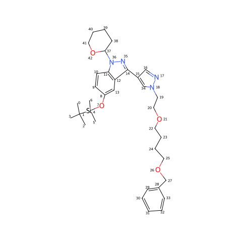 CC(C)(C)[Si](C)(C)Oc1ccc2c(c1)c(-c1cnn(CCOCCCCOCc3ccccc3)c1)nn2C1CCCCO1